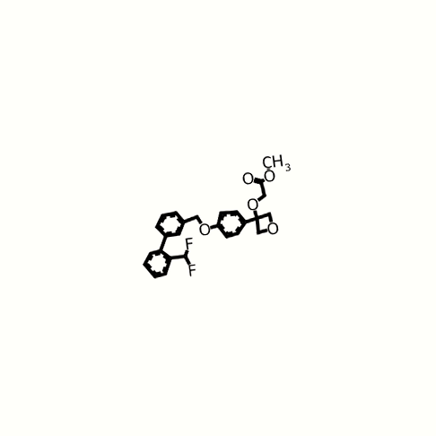 COC(=O)COC1(c2ccc(OCc3cccc(-c4ccccc4C(F)F)c3)cc2)COC1